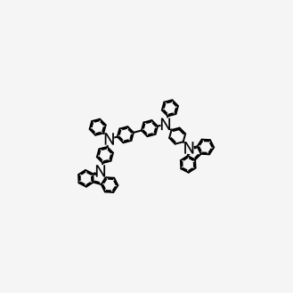 C1=CC(n2c3ccccc3c3ccccc32)C=CC=1N(c1ccccc1)c1ccc(-c2ccc(N(c3ccccc3)c3ccc(-n4c5ccccc5c5ccccc54)cc3)cc2)cc1